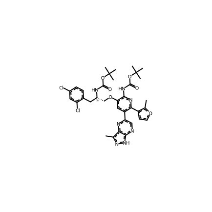 Cc1occc1-c1nc(NC(=O)OC(C)(C)C)c(OC[C@H](Cc2ccc(Cl)cc2Cl)NC(=O)OC(C)(C)C)cc1-c1cnc2[nH]nc(C)c2n1